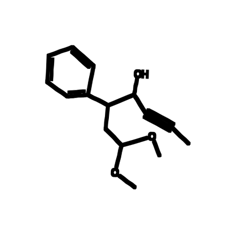 CC#CC(O)C(CC(OC)OC)c1ccccc1